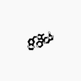 CC1CN(Cc2ccc3nccnc3c2)CC1C1(C2CCOCC2)CN2C(=O)N=CC2=CN1